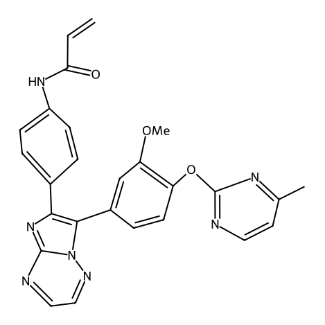 C=CC(=O)Nc1ccc(-c2nc3nccnn3c2-c2ccc(Oc3nccc(C)n3)c(OC)c2)cc1